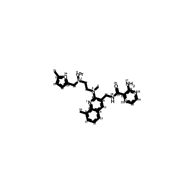 CCCN(CCN(C)c1nc2c(C)cccc2cc1CNC(=O)c1nccnc1N)Cc1ccc(C)o1